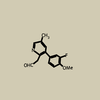 COc1ccc(-c2cc(C)cnc2CC=O)cc1F